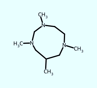 CC1CN(C)CCN(C)CN(C)C1